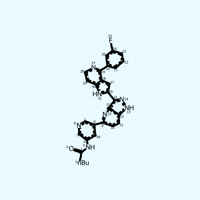 CCCCC(=O)Nc1cncc(-c2ccc3[nH]nc(-c4cc5c(-c6cccc(F)c6)nccc5[nH]4)c3n2)c1